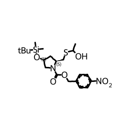 CC(O)SC[C@@H]1C[C@H](O[Si](C)(C)C(C)(C)C)CN1C(=O)OCc1ccc([N+](=O)[O-])cc1